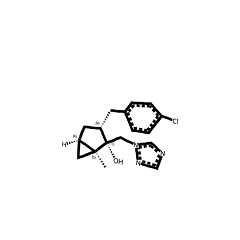 C[C@]12C[C@H]1C[C@H](Cc1ccc(Cl)cc1)[C@@]2(O)Cn1cncn1